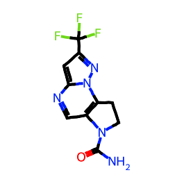 NC(=O)N1CCc2c1cnc1cc(C(F)(F)F)nn21